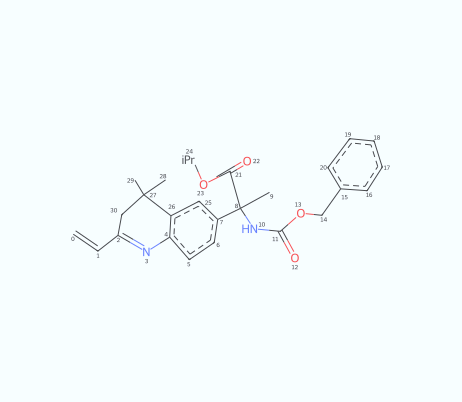 C=CC1=Nc2ccc(C(C)(NC(=O)OCc3ccccc3)C(=O)OC(C)C)cc2C(C)(C)C1